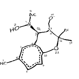 CC(=O)N(O)[C@@H]1c2cc(C#N)ccc2OC(C)(C)[S+]1[O-]